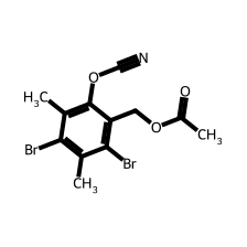 CC(=O)OCc1c(Br)c(C)c(Br)c(C)c1OC#N